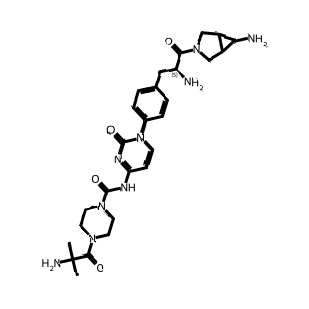 CC(C)(N)C(=O)N1CCN(C(=O)Nc2ccn(-c3ccc(C[C@H](N)C(=O)N4CC5C(N)C5C4)cc3)c(=O)n2)CC1